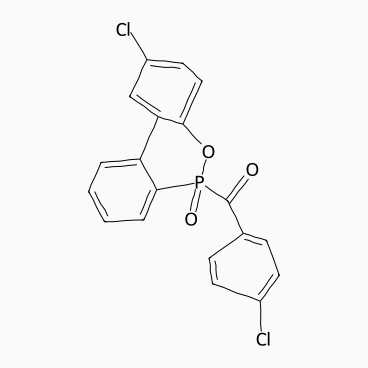 O=C(c1ccc(Cl)cc1)P1(=O)Oc2ccc(Cl)cc2-c2ccccc21